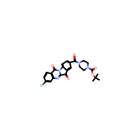 CC(C)(C)OC(=O)N1CCN(C(=O)c2ccc3c(c2)C(=O)c2nc4cc(Cl)ccc4c(=O)n2-3)CC1